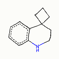 c1ccc2c(c1)NCCC21CCC1